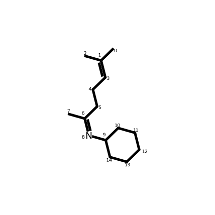 CC(C)=CCCC(C)=NC1CCCCC1